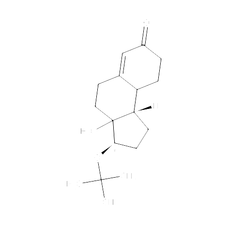 CC(C)(C)O[C@@H]1CC[C@H]2C3CCC(=O)C=C3CCC12C